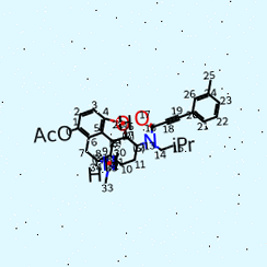 CC(=O)Oc1ccc2c3c1C[C@@H]1[C@@H]4CC[C@H](N(CC(C)C)C(=O)C#Cc5cccc(C)c5)[C@H](O2)[C@]34CCN1C